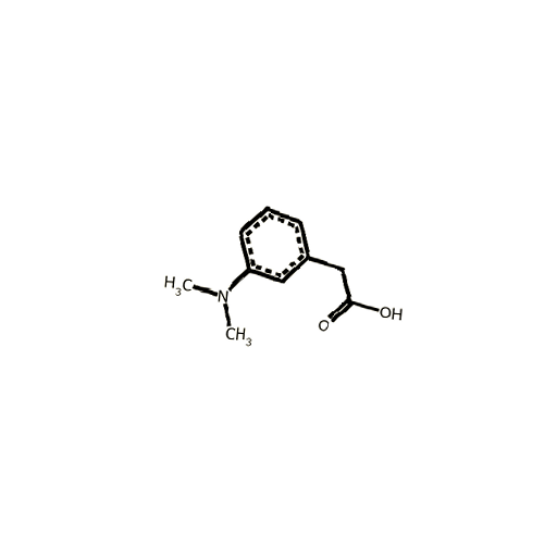 CN(C)c1cccc(CC(=O)O)c1